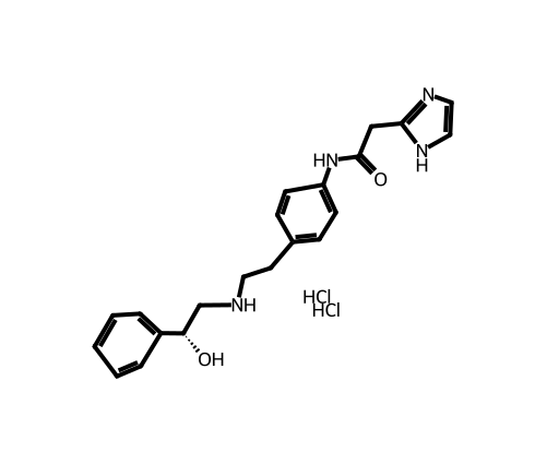 Cl.Cl.O=C(Cc1ncc[nH]1)Nc1ccc(CCNC[C@H](O)c2ccccc2)cc1